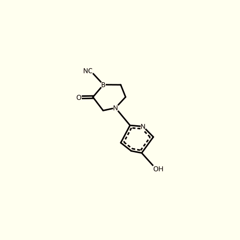 N#CB1CCN(c2ccc(O)cn2)CC1=O